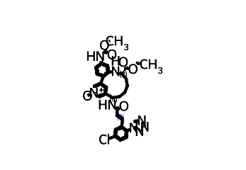 CCOC(=O)[C@H]1CCCC[C@H](NC(=O)/C=C/c2cc(Cl)ccc2-n2cnnn2)c2cc(c[n+]([O-])c2)-c2ccc(NC(=O)OC)cc2N1